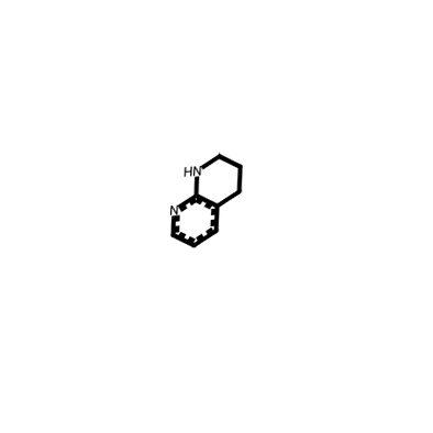 [CH]1CCc2cccnc2N1